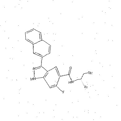 CC(C)[C@@H](CO)NC(=O)c1cc2c(-c3ccc4ccccc4c3)n[nH]c2cc1F